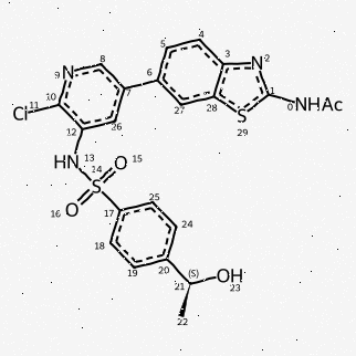 CC(=O)Nc1nc2ccc(-c3cnc(Cl)c(NS(=O)(=O)c4ccc([C@H](C)O)cc4)c3)cc2s1